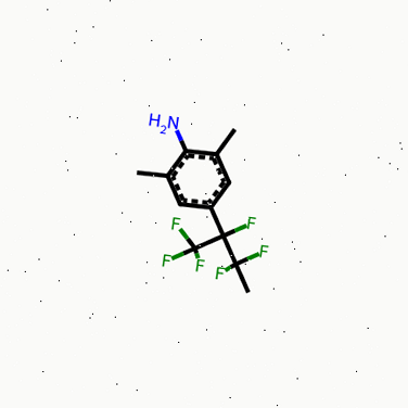 Cc1cc(C(F)(C(C)(F)F)C(F)(F)F)cc(C)c1N